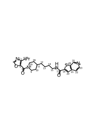 CC(C)c1ncoc1C(=O)N1CCC(CCCCNC(=O)c2cc3ccncc3s2)CC1